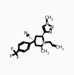 C=CCN1[C@@H](C)C[C@@](C#N)(c2ccc(C(F)(F)F)cc2)C[C@H]1c1cn(C)nn1